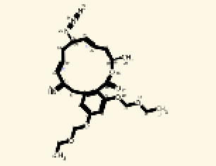 CCOCOc1cc2c(c(OCOCC)c1)C(=O)O[C@H](C)C/C=C/[C@H](N=[N+]=[N-])C/C=C/C(=N)C2